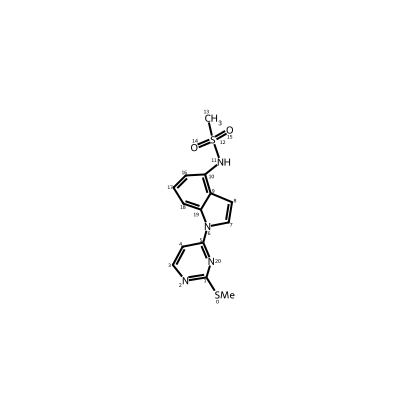 CSc1nccc(-n2ccc3c(NS(C)(=O)=O)cccc32)n1